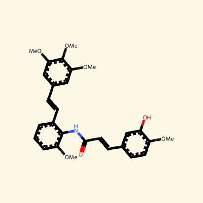 COc1ccc(/C=C/C(=O)Nc2c(/C=C/c3cc(OC)c(OC)c(OC)c3)cccc2OC)cc1O